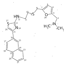 CN(C)Cc1ccc(CSCCNc2nc(-c3ccc4ccccc4c3)cs2)o1